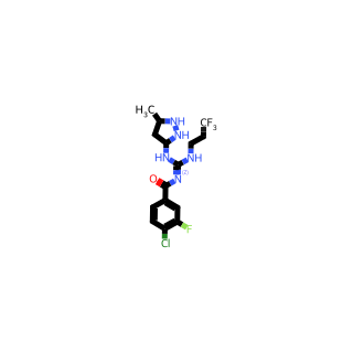 CC1CC(N/C(=N\C(=O)c2ccc(Cl)c(F)c2)NCCC(F)(F)F)NN1